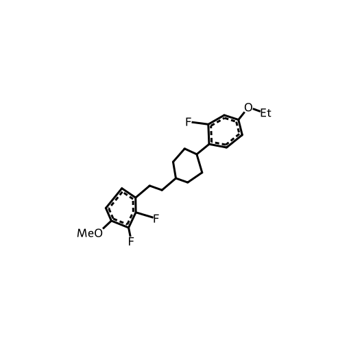 CCOc1ccc(C2CCC(CCc3ccc(OC)c(F)c3F)CC2)c(F)c1